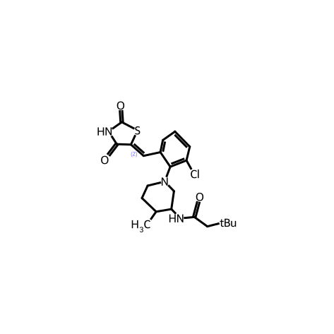 CC1CCN(c2c(Cl)cccc2/C=C2\SC(=O)NC2=O)CC1NC(=O)CC(C)(C)C